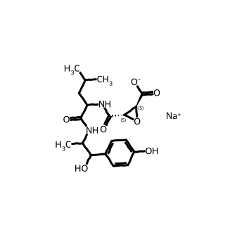 CC(C)CC(NC(=O)[C@H]1O[C@@H]1C(=O)[O-])C(=O)NC(C)C(O)c1ccc(O)cc1.[Na+]